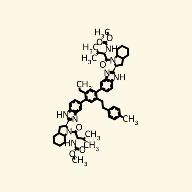 CCc1cc(-c2ccc3[nH]c([C@@H]4CC5CCCCC5N4C(=O)[C@@H](NC(=O)OC)C(C)C)nc3c2)c(CCc2ccc(C)cc2)cc1-c1ccc2[nH]c([C@@H]3CC4CCCCC4N3C(=O)[C@@H](NC(=O)OC)C(C)C)nc2c1